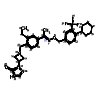 CCc1cc(/C(C)=N/OCc2ccc(C3CCCCC3)c(C(F)(F)F)c2)ccc1CN1CC(n2nc[nH]c2=O)C1